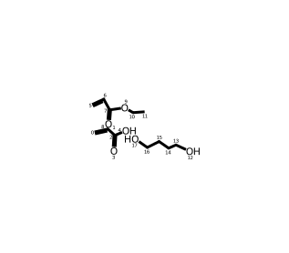 C=CC(=O)O.C=CC(=O)OCC.OCCCCO